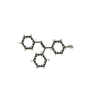 Brc1ccc(C(=Cc2ccccc2)c2ccccc2)cc1